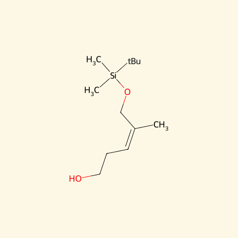 C/C(=C/CCO)CO[Si](C)(C)C(C)(C)C